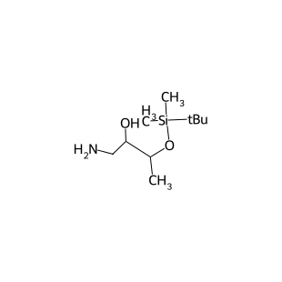 CC(O[Si](C)(C)C(C)(C)C)C(O)CN